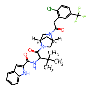 CC(C)(C)C(NC(=O)c1cc2ccccc2[nH]1)C(=O)N1C[C@@H]2C[C@H]1CN2C(=O)Cc1cc(C(F)(F)F)ccc1Cl